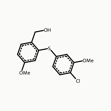 COc1ccc(CO)c(Sc2ccc(Cl)c(OC)c2)c1